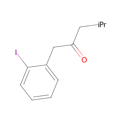 CC(C)CC(=O)Cc1ccccc1I